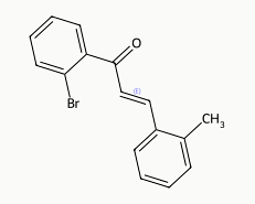 Cc1ccccc1/C=C/C(=O)c1ccccc1Br